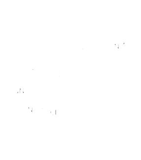 Cc1ncnc2ccc(-c3ccc(C#N)cc3)cc12